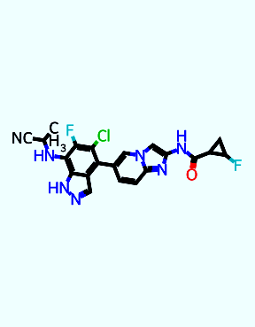 CC(C#N)Nc1c(F)c(Cl)c(-c2ccc3nc(NC(=O)C4CC4F)cn3c2)c2cn[nH]c12